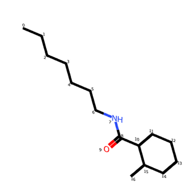 CCCCCCCNC(=O)C1CCCCC1C